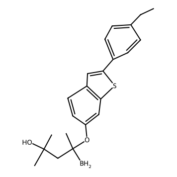 BC(C)(CC(C)(C)O)Oc1ccc2cc(-c3ccc(CC)cc3)sc2c1